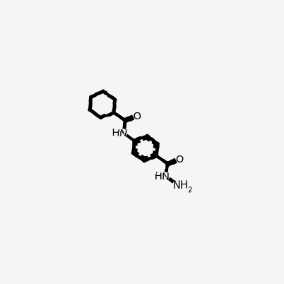 NNC(=O)c1ccc(NC(=O)C2CCCCC2)cc1